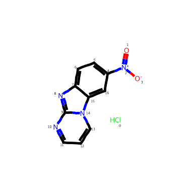 Cl.O=[N+]([O-])c1ccc2nc3ncccn3c2c1